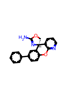 NC1=N[C@]2(CO1)c1cc(-c3ccccc3)ccc1Oc1ncccc12